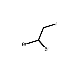 BrC(Br)CI